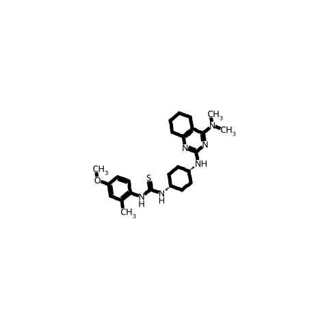 COc1ccc(NC(=S)N[C@H]2CC[C@@H](Nc3nc4c(c(N(C)C)n3)CCCC4)CC2)c(C)c1